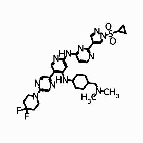 CN(C)CC1CCC(Nc2cc(Nc3ccnc(-c4cnn(S(=O)(=O)C5CC5)c4)n3)ncc2-c2cnc(N3CCC(F)(F)CC3)cn2)CC1